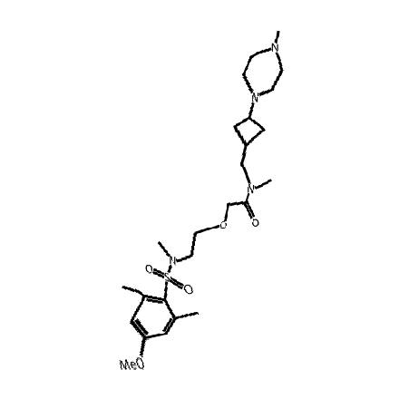 COc1cc(C)c(S(=O)(=O)N(C)CCOCC(=O)N(C)CC2CC(N3CCN(C)CC3)C2)c(C)c1